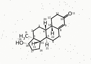 C[C@]12CC[C@H]3[C@@H](CCC4=CC(=O)CC[C@H]43)[C@@H]1CC[C@@H]2O